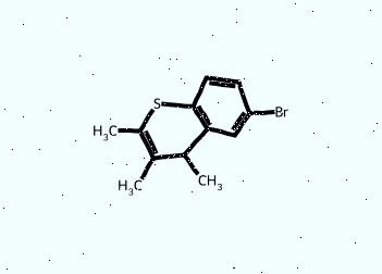 CC1=C(C)C(C)c2cc(Br)ccc2S1